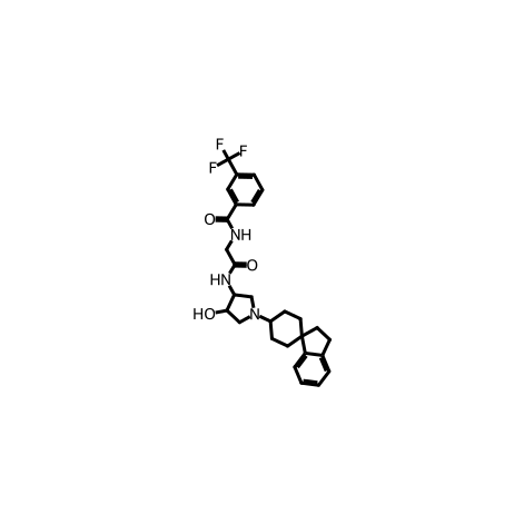 O=C(CNC(=O)c1cccc(C(F)(F)F)c1)NC1CN(C2CCC3(CCc4ccccc43)CC2)CC1O